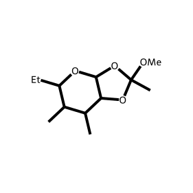 CCC1OC2OC(C)(OC)OC2C(C)C1C